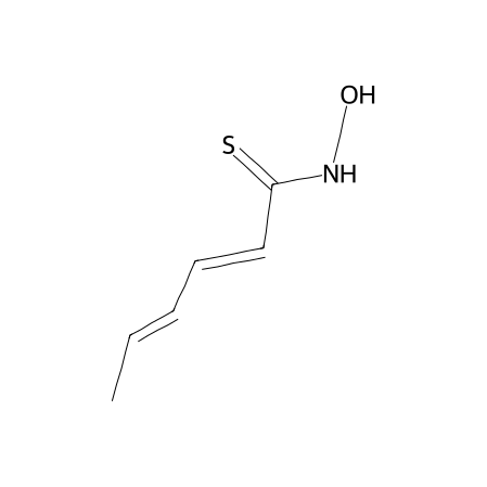 CC=CC=CC(=S)NO